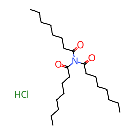 CCCCCCCC(=O)N(C(=O)CCCCCCC)C(=O)CCCCCCC.Cl